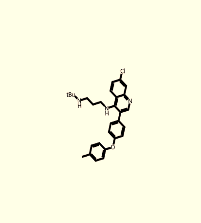 Cc1ccc(Oc2ccc(-c3cnc4cc(Cl)ccc4c3NCCCNC(C)(C)C)cc2)cc1